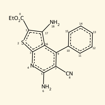 CCOC(=O)c1sc2nc(N)c(C#N)c(-c3ccccc3)c2c1N